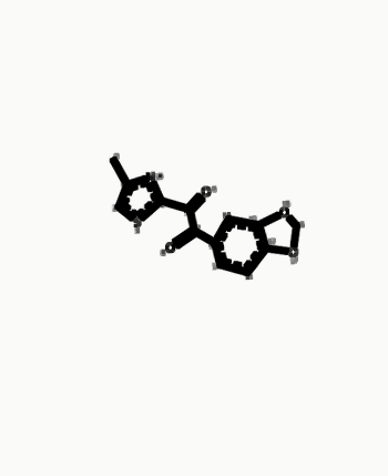 Cc1csc(C(=O)C(=O)c2ccc3c(c2)OCO3)n1